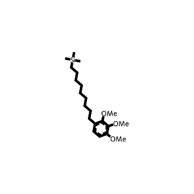 COc1ccc(CCCCCCCCC[Si](C)(C)C)c(OC)c1OC